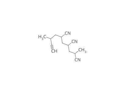 C#CC(C)CC(C#N)CC(C#N)CC(C)C#N